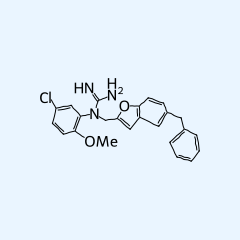 COc1ccc(Cl)cc1N(Cc1cc2cc(Cc3ccccc3)ccc2o1)C(=N)N